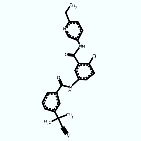 CCc1ccc(NC(=O)c2cc(NC(=O)c3cccc(C(C)(C)C#N)c3)ccc2Cl)cn1